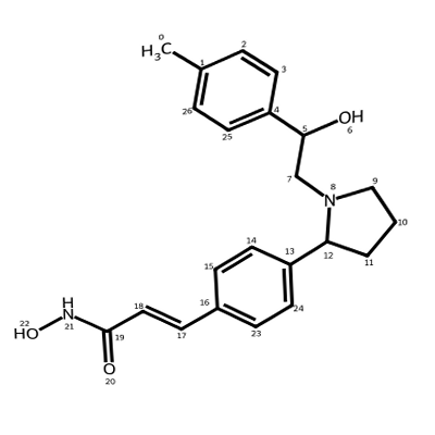 Cc1ccc(C(O)CN2CCCC2c2ccc(C=CC(=O)NO)cc2)cc1